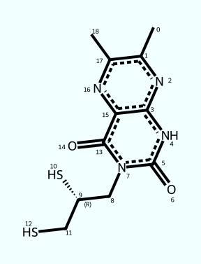 Cc1nc2[nH]c(=O)n(C[C@@H](S)CS)c(=O)c2nc1C